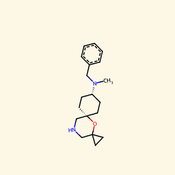 CN(Cc1ccccc1)[C@H]1CC[C@@]2(CC1)CNCC1(CC1)O2